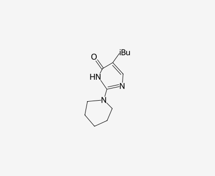 CCC(C)c1cnc(N2CCCCC2)[nH]c1=O